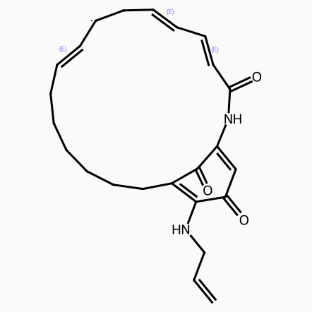 C=CCNC1=C2CCCCCC/C=C/[CH]C/C=C/C=C/C(=O)NC(=CC1=O)C2=O